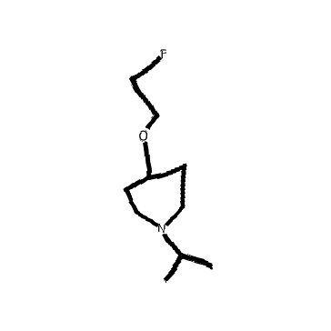 CC(C)N1CCC(OCCF)CC1